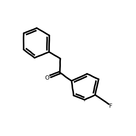 O=C(Cc1ccccc1)c1c[c]c(F)cc1